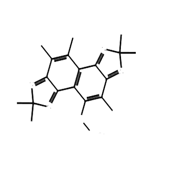 CCCCCCOc1c(C)c2c(c3c(C)c(C)c4c(c13)=NC(C)(C)N=4)=NC(C)(C)N=2